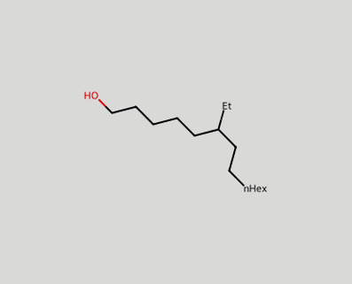 CCCCCCCCC(CC)CCCCCO